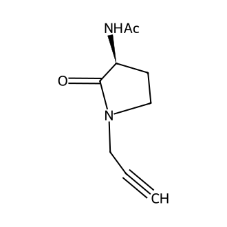 C#CCN1CC[C@H](NC(C)=O)C1=O